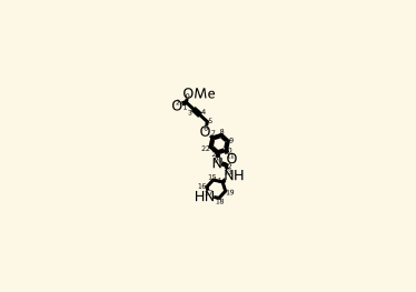 COC(=O)C#CCOc1ccc2oc(NC3CCNCC3)nc2c1